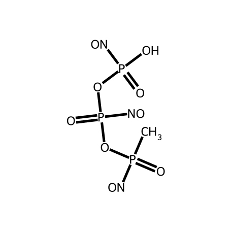 CP(=O)(N=O)OP(=O)(N=O)OP(=O)(O)N=O